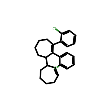 Clc1ccccc1C1=C(c2ccccc2Cl)C(C2C=CCCCC2)CCCC1